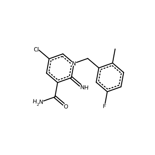 Cc1ccc(F)cc1Cn1cc(Cl)cc(C(N)=O)c1=N